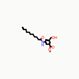 C=CCCCCCCCCC(=O)Nc1cc(CO)cc(C(=O)OC)c1